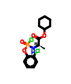 C[C@H](NP(=O)(Cl)Oc1ccccc1Cl)C(=O)OC1CCCCC1